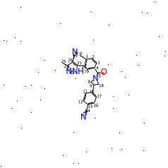 Cc1ccc(C(=O)N2CC(c3ccc(C#N)cc3)C2)cc1-c1[nH]nc(C)c1C#N